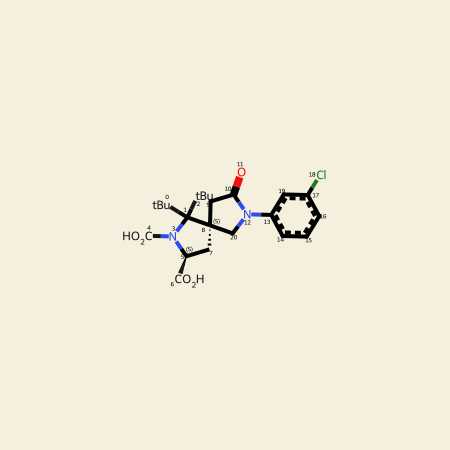 CC(C)(C)C1(C(C)(C)C)N(C(=O)O)[C@H](C(=O)O)C[C@@]12CC(=O)N(c1cccc(Cl)c1)C2